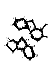 Cc1ccc2c(c1C)Cc1ccccc1-2.c1ccc2c3c(ccc2c1)SCC3